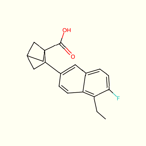 CCc1c(F)ccc2cc(C3CC4CC3(C(=O)O)C4)ccc12